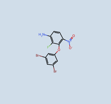 Nc1ccc([N+](=O)[O-])c(Oc2cc(Br)cc(Br)c2)c1F